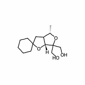 C[C@@H]1OC(CO)(CO)[C@@H]2OC3(CCCCC3)CC12